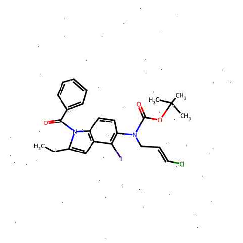 CCc1cc2c(I)c(N(CC=CCl)C(=O)OC(C)(C)C)ccc2n1C(=O)c1ccccc1